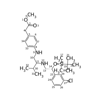 COC(=O)Cc1ccc(NCC(NC[C@H](O[Si](C)(C)C(C)(C)C)c2cccc(Cl)c2)C(C)C)cc1